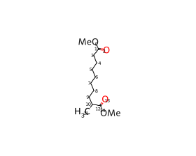 COC(=O)CCCCCCCC(C)C(=O)OC